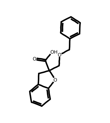 O=C(O)C1(COCc2ccccc2)Cc2ccccc2O1